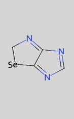 C1=NC2=NC[Se]C2=N1